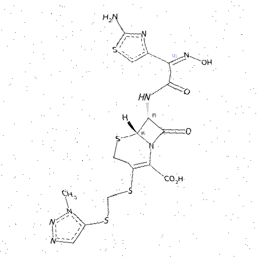 Cn1nncc1SCSC1=C(C(=O)O)N2C(=O)[C@@H](NC(=O)/C(=N\O)c3csc(N)n3)[C@H]2SC1